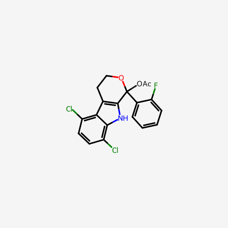 CC(=O)OC1(c2ccccc2F)OCCc2c1[nH]c1c(Cl)ccc(Cl)c21